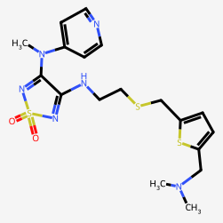 CN(C)Cc1ccc(CSCCNC2=NS(=O)(=O)N=C2N(C)c2ccncc2)s1